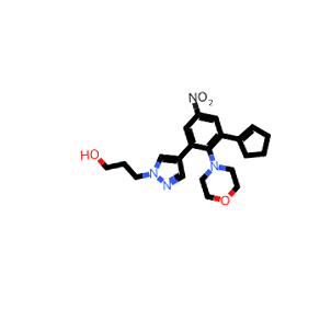 O=[N+]([O-])c1cc(C2=CCCC2)c(N2CCOCC2)c(-c2cnn(CCCO)c2)c1